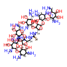 NCC1O[C@H](OC2C(N)C[C@@H](N)C(O)[C@H]2O[C@@H]2O[C@H](CNC(=S)NCC3OC(OC4C(O[C@@H]5OC(CN)C(O)[C@H](O)C5N)C(N)C[C@H](N)[C@@H]4O)C(O)C3O[C@@H]3O[C@H](CN)C(O)C(O)C3N)C(O[C@H]3O[C@@H](CN)C(O)C(O)C3N)C2O)C(N)[C@@H](O)C1O